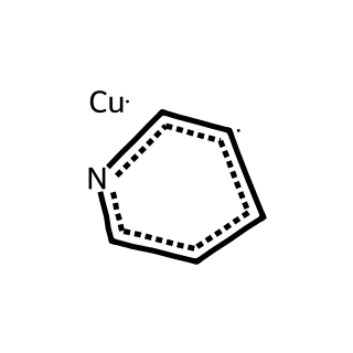 [Cu].[c]1cccnc1